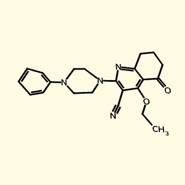 CCOc1c(C#N)c(N2CCN(c3ccccc3)CC2)nc2c1C(=O)CCC2